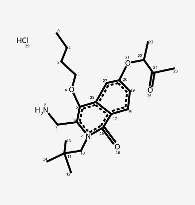 CCCCOc1c(CN)n(CC(C)(C)C)c(=O)c2ccc(OC(C)C(C)=O)cc12.Cl